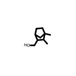 CC1C(CO)C2CCC1(C)C2